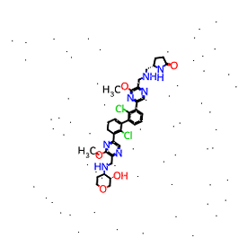 COc1nc(C2=C(Cl)C(c3cccc(-c4cnc(CNC[C@@H]5CCC(=O)N5)c(OC)n4)c3Cl)=CCC2)cnc1CN[C@@H]1CCOC[C@H]1O